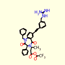 CC(CC(=O)OC(=O)C(F)(F)F)N1C(=O)c2cc(C#Cc3cccc(CNC(=N)N)c3)ccc2N(Cc2ccccc2)C(=O)C1c1ccccc1